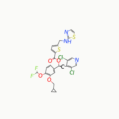 O=C(O[C@@H](Cc1c(Cl)cncc1Cl)c1ccc(OC(F)F)c(OCC2CC2)c1)c1ccc(CNc2nccs2)s1